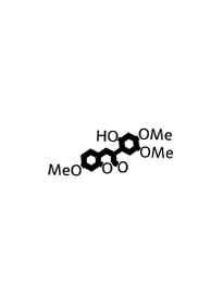 COc1ccc2cc(-c3cc(OC)c(OC)cc3O)c(=O)oc2c1